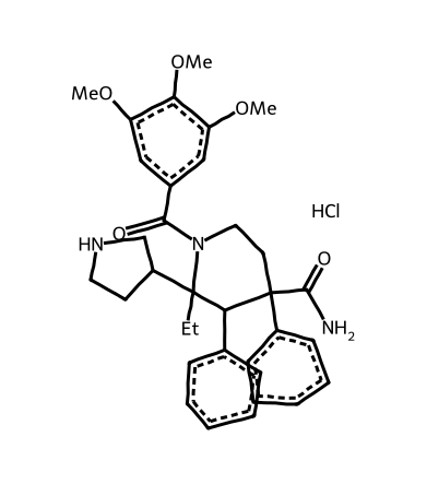 CCC1(C2CCNC2)C(c2ccccc2)C(C(N)=O)(c2ccccc2)CCN1C(=O)c1cc(OC)c(OC)c(OC)c1.Cl